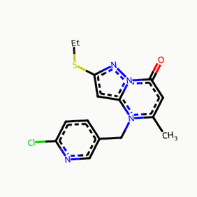 CCSc1cc2n(Cc3ccc(Cl)nc3)c(C)cc(=O)n2n1